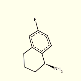 N[C@H]1CCCc2cc(F)ccc21